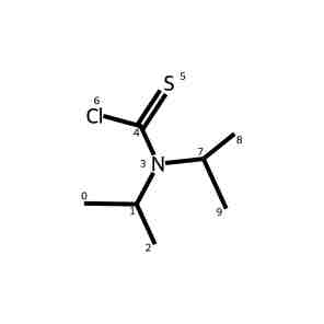 CC(C)N(C(=S)Cl)C(C)C